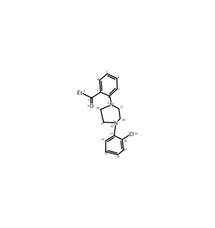 CCC(=O)c1ccccc1N1CCN(c2ccccc2Cl)CC1